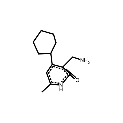 Cc1cc(C2CCCCC2)c(CN)c(=O)[nH]1